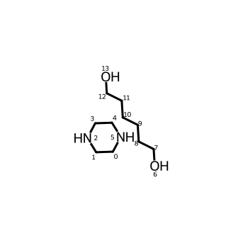 C1CNCCN1.OCCCCCCO